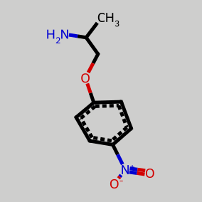 CC(N)COc1ccc([N+](=O)[O-])cc1